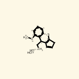 CCC(C1=[C]([Ti])CC=C1)c1ccccc1OC.Cl.Cl